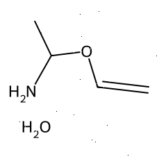 C=COC(C)N.O